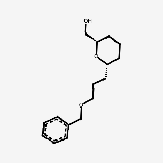 OC[C@H]1CCC[C@H](CCCOCc2ccccc2)O1